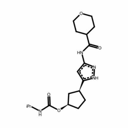 CC(C)NC(=O)O[C@@H]1CC[C@H](c2cc(NC(=O)C3CCOCC3)n[nH]2)C1